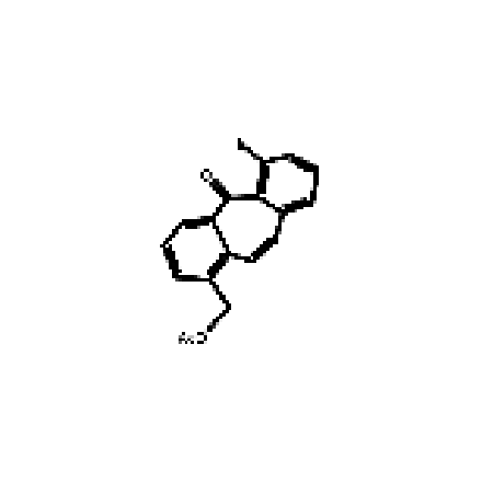 CC(=O)OCc1cccc2c(=O)c3c(I)cccc3ccc12